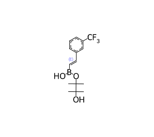 CC(C)(O)C(C)(C)OB(O)/C=C/c1cccc(C(F)(F)F)c1